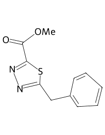 COC(=O)c1nnc(Cc2ccccc2)s1